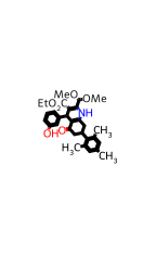 CCOC(=O)C1=C(C(OC)OC)NC2=C(C(=O)CC(c3c(C)cc(C)cc3C)C2)C1c1cccc(O)c1